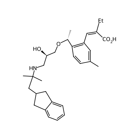 CCC(=Cc1cc(C)ccc1[C@@H](C)OC[C@H](O)CNC(C)(C)CC1Cc2ccccc2C1)C(=O)O